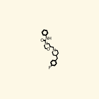 O=C(Nc1ccccc1)N1CCOC(CN2CCC(Cc3ccc(F)cc3)CC2)C1